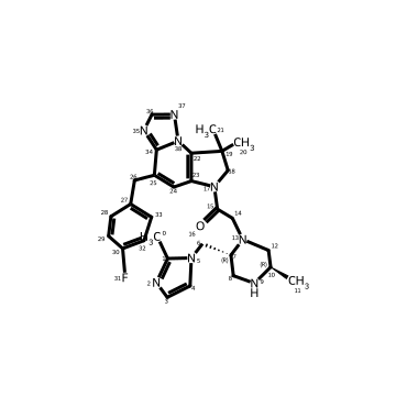 Cc1nccn1C[C@H]1CN[C@H](C)CN1CC(=O)N1CC(C)(C)c2c1cc(Cc1ccc(F)cc1)c1ncnn21